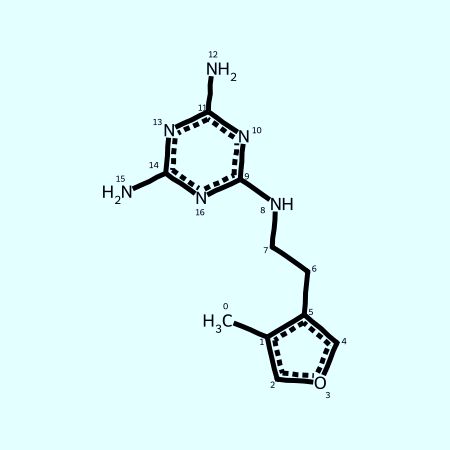 Cc1cocc1CCNc1nc(N)nc(N)n1